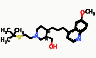 COc1ccc2nccc(CCC[C@@H]3CCN(CCSC(C)(C)C)C[C@@H]3CO)c2c1